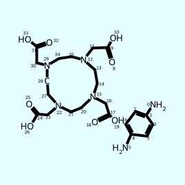 Nc1ccc(N)cc1.O=C(O)CN1CCN(CC(=O)O)CCN(CC(=O)O)CCN(CC(=O)O)CC1